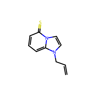 C=CCn1ccn2c(=S)cccc12